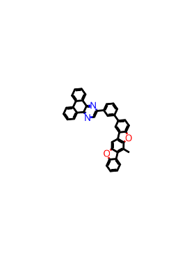 Cc1c2oc3ccc(-c4cccc(-c5cnc6c7ccccc7c7ccccc7c6n5)c4)cc3c2cc2oc3ccccc3c12